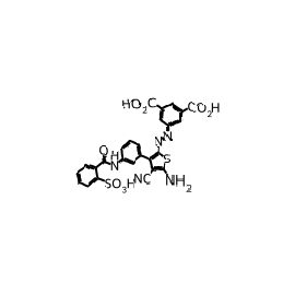 N#Cc1c(N)sc(N=Nc2cc(C(=O)O)cc(C(=O)O)c2)c1-c1cccc(NC(=O)c2ccccc2S(=O)(=O)O)c1